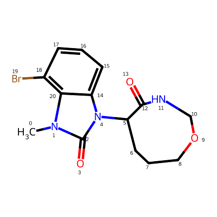 Cn1c(=O)n(C2CCCOCNC2=O)c2cccc(Br)c21